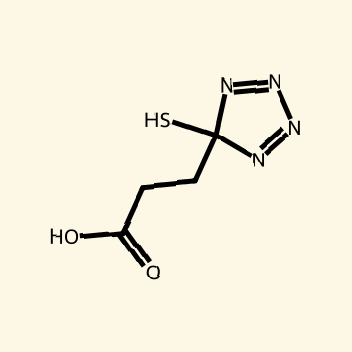 O=C(O)CCC1(S)N=NN=N1